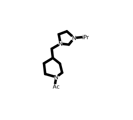 CC(=O)N1CCC(CN2CCN(C(C)C)C2)CC1